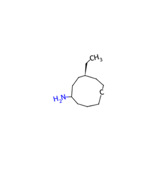 CC[C@H]1CCCCCCC(N)CC1